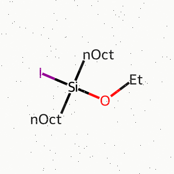 CCCCCCCC[Si](I)(CCCCCCCC)OCC